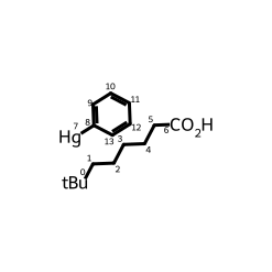 CC(C)(C)CCCCCC(=O)O.[Hg][c]1ccccc1